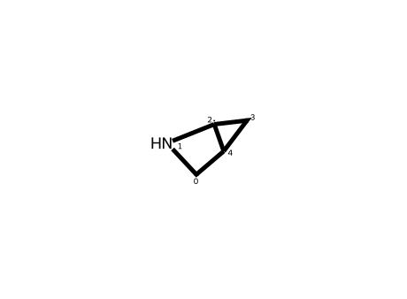 C1N[C]2CC12